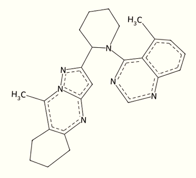 Cc1cccc2ncnc(N3CCCCC3c3cc4nc5c(c(C)n4n3)CCCC5)c12